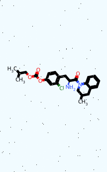 CC(C)COC(=O)Oc1ccc(C[C@H](N)C(=O)N2CC(C)Cc3ccccc32)c(Cl)c1